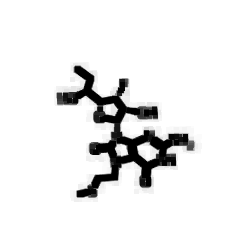 CC[C@H](O)[C@H]1O[C@@H](n2c(=O)n(CCSC)c3c(=O)[nH]c(N)nc32)[C@H](O)[C@H]1F